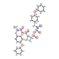 CCN(Cc1ccc(Oc2ccccc2)cc1)C(=O)OC(=O)C1CCC1C(=O)OC(=O)N(CC)Cc1ccc(Oc2ccccc2)cc1